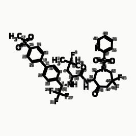 CC(C)(F)C[C@H](N[C@@H](c1ccc(-c2ccc(S(C)(=O)=O)cc2)cc1)C(F)(F)F)C(=O)NC1CN(S(=O)(=O)c2ccccn2)CC(F)(F)CC1=O